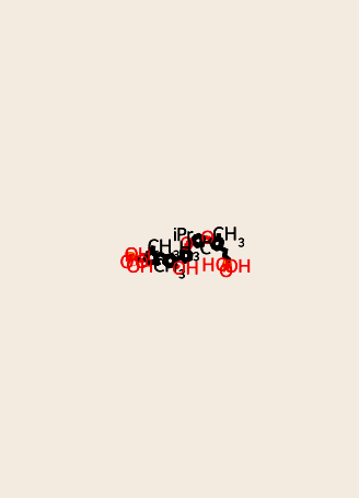 Cc1cc(OCP(=O)(O)O)cc(C)c1Cc1ccc(O)c(-c2cccc(Oc3ccc(Oc4c(C)cc(CCCP(=O)(O)O)cc4C)cc3C(C)C)c2)c1